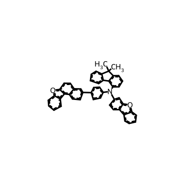 CC1(C)c2ccccc2-c2c(N(c3ccc(-c4ccc5c(ccc6oc7ccccc7c65)c4)cc3)c3ccc4c(c3)oc3ccccc34)cccc21